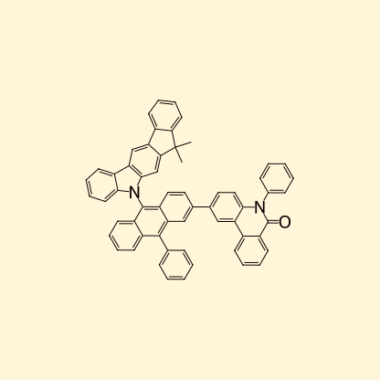 CC1(C)c2ccccc2-c2cc3c4ccccc4n(-c4c5ccccc5c(-c5ccccc5)c5cc(-c6ccc7c(c6)c6ccccc6c(=O)n7-c6ccccc6)ccc45)c3cc21